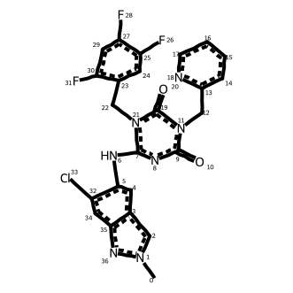 Cn1cc2cc(Nc3nc(=O)n(Cc4ccccn4)c(=O)n3Cc3cc(F)c(F)cc3F)c(Cl)cc2n1